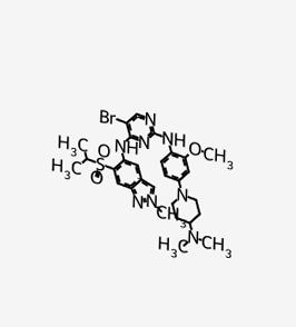 COc1cc(N2CCC(N(C)C)CC2)ccc1Nc1ncc(Br)c(Nc2cc3cn(C)nc3cc2S(=O)(=O)C(C)C)n1